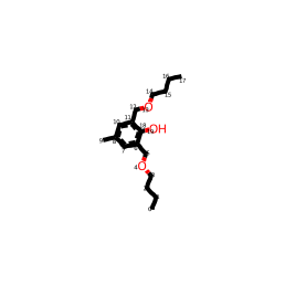 CCCCOCc1cc(C)cc(COCCCC)c1O